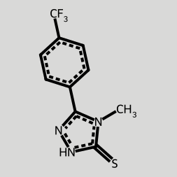 Cn1c(-c2ccc(C(F)(F)F)cc2)n[nH]c1=S